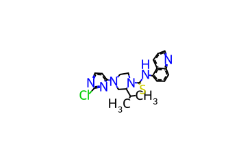 CC(C)C1CN(c2ccnc(Cl)n2)CCN1C(=S)Nc1cccc2ncccc12